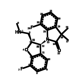 CNC[C@@H]1Oc2c(F)cccc2[C@H]1N1C(=O)C(C)(C)c2cccc(F)c21